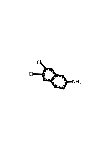 Nc1ccc2cc(Cl)c(Cl)cc2c1